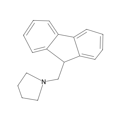 c1ccc2c(c1)-c1ccccc1C2CN1CCCC1